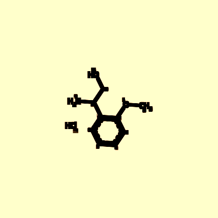 COc1ccccc1C(N)CO.Cl